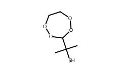 CC(C)(S)C1OOCCOO1